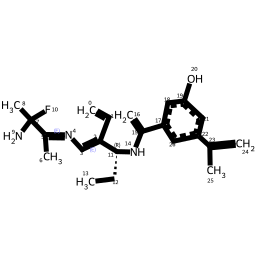 C=C/C(=C\N=C(/C)C(C)(N)F)[C@@H](CC)NC(=C)c1cc(O)cc(C(=C)C)c1